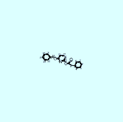 O=C(Cc1ccccc1)Oc1nccc(OCc2ccccc2)n1